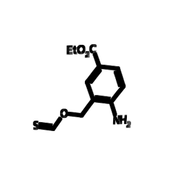 CCOC(=O)c1ccc(N)c(COC=S)c1